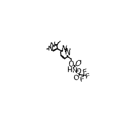 Cc1nn(C)cc1-c1ccc(COC(=O)NOC(=O)C(F)(F)F)nn1